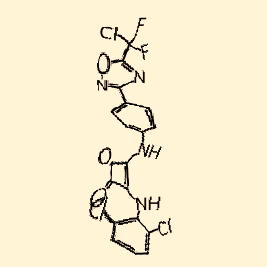 O=c1c(Nc2ccc(-c3noc(C(F)(F)Cl)n3)cc2)c(Nc2c(Cl)cccc2Cl)c1=O